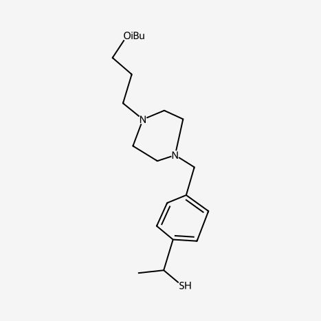 CC(C)COCCCN1CCN(Cc2ccc(C(C)S)cc2)CC1